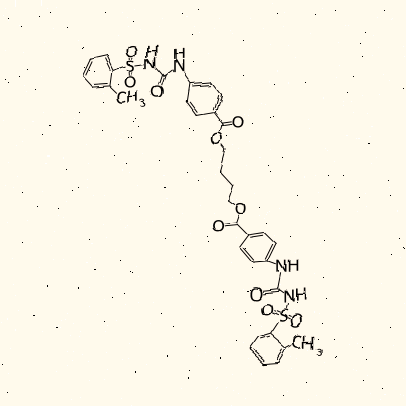 Cc1ccccc1S(=O)(=O)NC(=O)Nc1ccc(C(=O)OCCCCOC(=O)c2ccc(NC(=O)NS(=O)(=O)c3ccccc3C)cc2)cc1